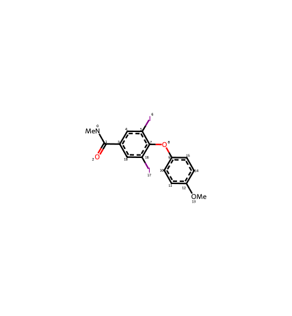 CNC(=O)c1cc(I)c(Oc2ccc(OC)cc2)c(I)c1